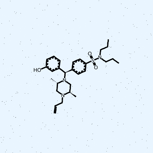 C=CCN1C[C@H](C)N([C@H](c2ccc(S(=O)(=O)N(CCC)CCC)cc2)c2cccc(O)c2)C[C@H]1C